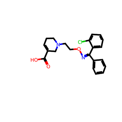 O=C(O)C1=CCCN(CCON=C(c2ccccc2)c2ccccc2Cl)C1